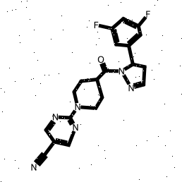 N#Cc1cnc(N2CCC(C(=O)N3N=CCC3c3cc(F)cc(F)c3)CC2)nc1